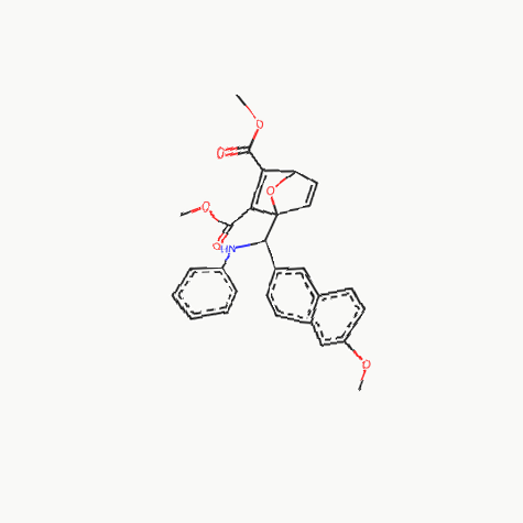 COC(=O)C1=C(C(=O)OC)C2(C(Nc3ccccc3)c3ccc4cc(OC)ccc4c3)C=CC1O2